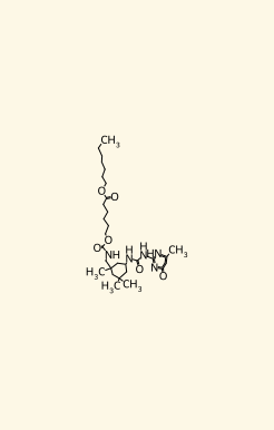 CCCCCCCOC(=O)CCCCCOC(=O)NCC1(C)CC(NC(=O)Nc2nc(=O)cc(C)[nH]2)CC(C)(C)C1